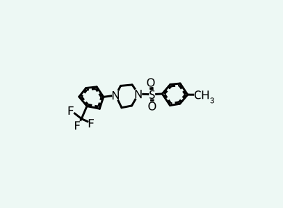 Cc1ccc(S(=O)(=O)N2CCN(c3cccc(C(F)(F)F)c3)CC2)cc1